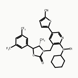 CCN(c1ncc(-c2ccc(C#N)s2)cc1CN1C(=O)OC(c2cc(C(F)(F)F)cc(C(F)(F)F)c2)[C@@H]1C)C1CCCCC1